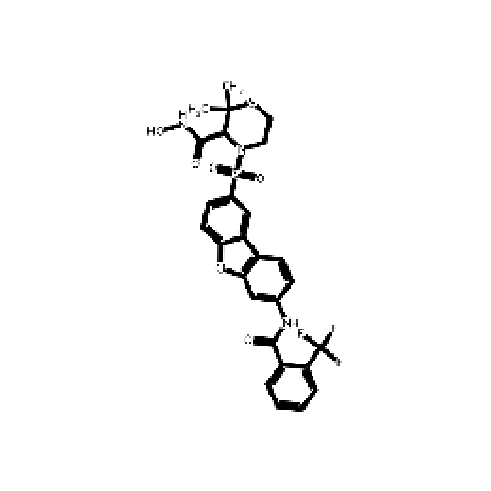 CC1(C)SCCN(S(=O)(=O)c2ccc3oc4cc(NC(=O)c5ccccc5C(F)(F)F)ccc4c3c2)C1C(=O)NO